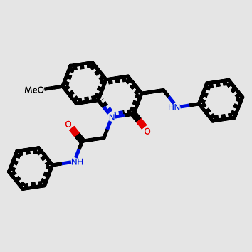 COc1ccc2cc(CNc3ccccc3)c(=O)n(CC(=O)Nc3ccccc3)c2c1